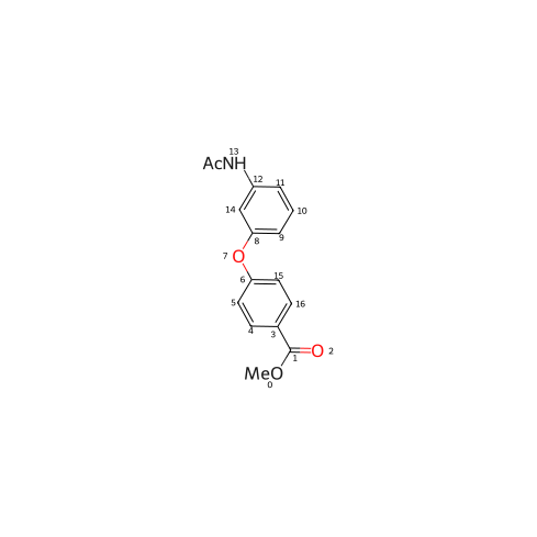 COC(=O)c1ccc(Oc2cccc(NC(C)=O)c2)cc1